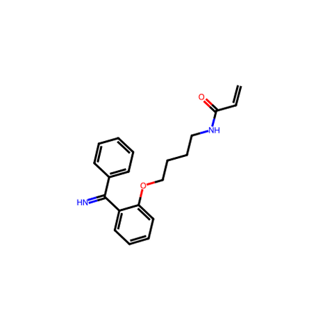 C=CC(=O)NCCCCOc1ccccc1C(=N)c1ccccc1